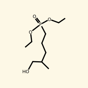 CCOP(=O)(CCCC(C)CO)OCC